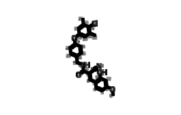 COc1ccc(/C=C(\C#N)C(=O)NCc2ccc(Oc3cc(C)c(Cl)c(C)c3)cc2)c(O)c1